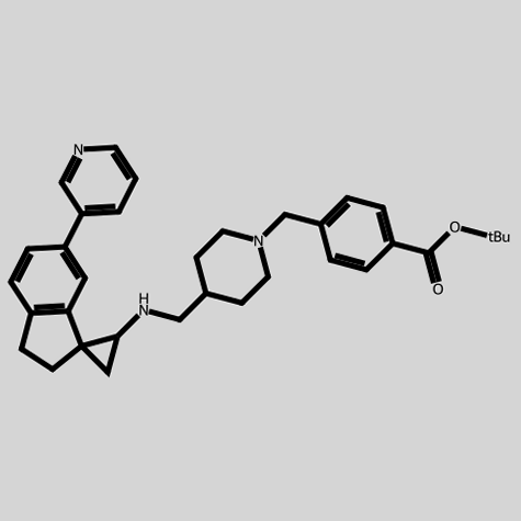 CC(C)(C)OC(=O)c1ccc(CN2CCC(CNC3CC34CCc3ccc(-c5cccnc5)cc34)CC2)cc1